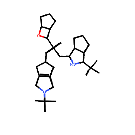 CC(C)(C)C1NC(CC(C)(CC2CC3=C(C2)CN(C(C)(C)C)C3)C2OC3CCCC32)C2CCCC21